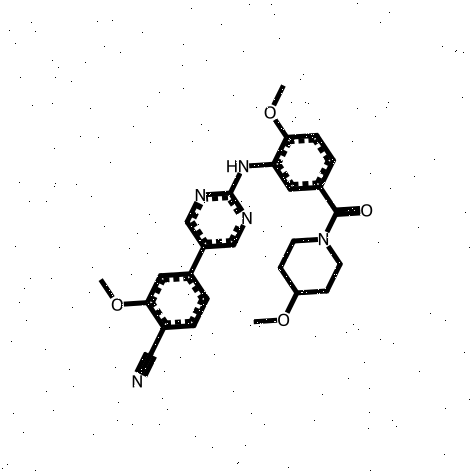 COc1cc(-c2cnc(Nc3cc(C(=O)N4CCC(OC)CC4)ccc3OC)nc2)ccc1C#N